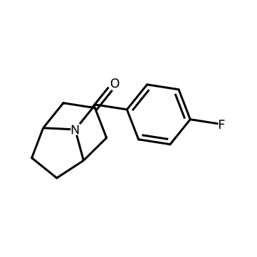 O=C1CC2CCC(C1)N2Cc1ccc(F)cc1